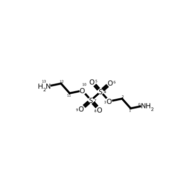 NCCOS(=O)(=O)S(=O)(=O)OCCN